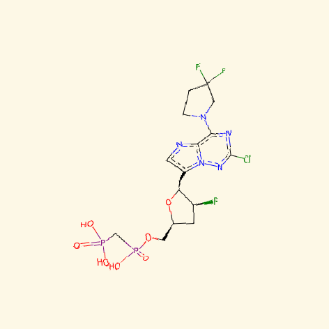 O=P(O)(O)CP(=O)(O)OC[C@@H]1C[C@H](F)[C@H](c2cnc3c(N4CCC(F)(F)C4)nc(Cl)nn23)O1